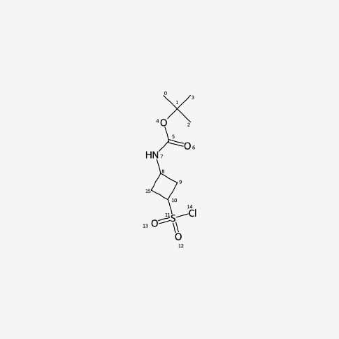 CC(C)(C)OC(=O)NC1CC(S(=O)(=O)Cl)C1